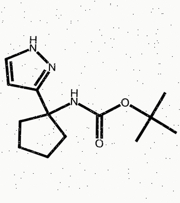 CC(C)(C)OC(=O)NC1(c2cc[nH]n2)CCCC1